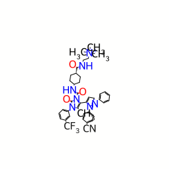 Cc1c(-c2ccnn2-c2ccc(C#N)cc2)n(C(=O)N[C@H]2CC[C@H](C(=O)NCC[N+](C)(C)C)CC2)c(=O)n1-c1cccc(C(F)(F)F)c1.c1ccccc1